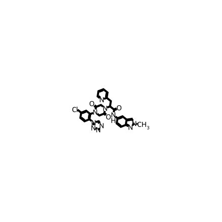 Cn1cc2cc(NC(=O)C(Cc3ccccn3)N3CC(=O)N(c4cc(Cl)ccc4-n4cnnn4)CC3=O)ccc2n1